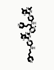 Cc1nc(N2CCC(NC(CCc3ccncc3)C3CN(c4nc(N5CCC(NCCCc6ccncc6)CC5)c5scc(C)c5n4)CCN3C)CC2)c2scc(C)c2n1